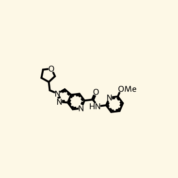 COc1cccc(NC(=O)c2cc3cn(CC4CCOC4)nc3cn2)n1